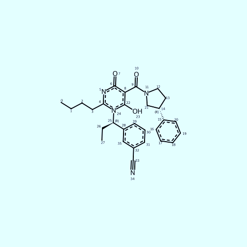 CCCCc1nc(=O)c(C(=O)N2CC[C@H](c3ccccc3)C2)c(O)n1[C@H](CC)c1cccc(C#N)c1